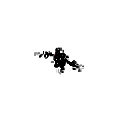 C=CC(=O)OCCNC(=O)OC1(c2ccc(SC)cc2)c2ccccc2C(OC(=O)NCCOC(=O)C(=C)C)(c2ccc(SC)cc2)c2ccccc21